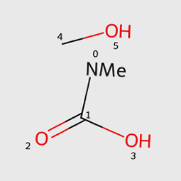 CNC(=O)O.CO